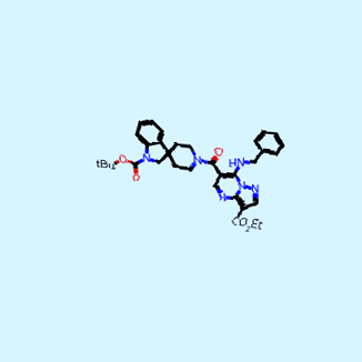 CCOC(=O)c1cnn2c(NCc3ccccc3)c(C(=O)N3CCC4(CC3)CN(C(=O)OC(C)(C)C)c3ccccc34)cnc12